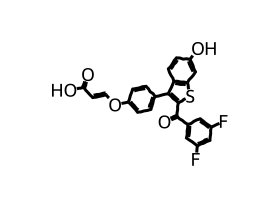 O=C(O)/C=C/Oc1ccc(-c2c(C(=O)c3cc(F)cc(F)c3)sc3cc(O)ccc23)cc1